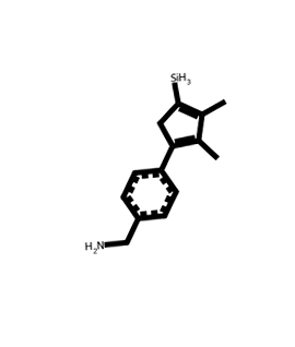 CC1=C([SiH3])CC(c2ccc(CN)cc2)=C1C